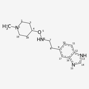 CN1CCC(ONCCc2ccc3[nH]cnc3c2)CC1